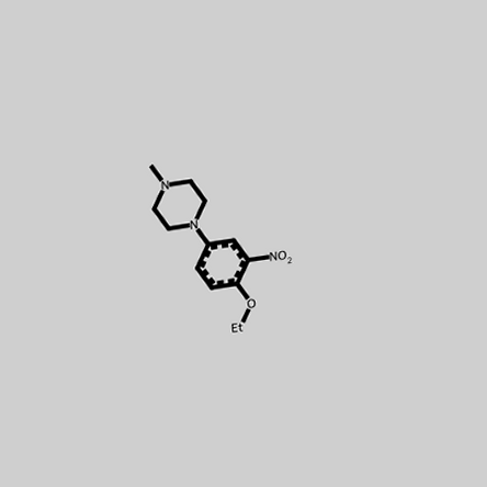 CCOc1ccc(N2CCN(C)CC2)cc1[N+](=O)[O-]